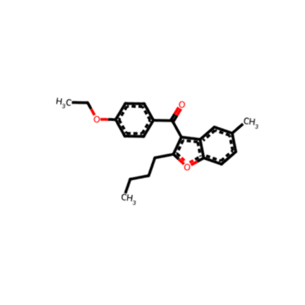 CCCCc1oc2ccc(C)cc2c1C(=O)c1ccc(OCC)cc1